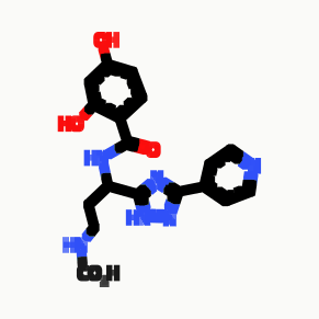 O=C(O)NCCC(NC(=O)c1ccc(O)cc1O)c1nc(-c2ccncc2)n[nH]1